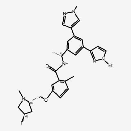 CCn1ccc(-c2cc(-c3cnn(C)c3)cc([C@@H](C)NC(=O)c3cc(OC[C@@H]4C[C@@H](F)CN4C)ccc3C)c2)n1